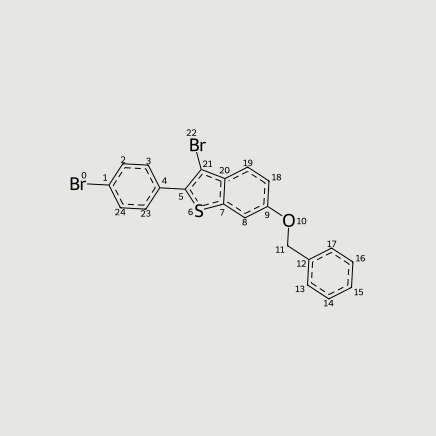 Brc1ccc(-c2sc3cc(OCc4ccccc4)ccc3c2Br)cc1